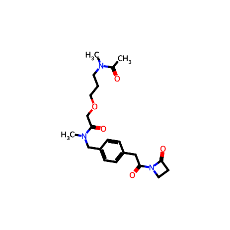 CC(=O)N(C)CCCOCC(=O)N(C)Cc1ccc(CC(=O)N2CCC2=O)cc1